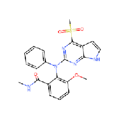 CNC(=O)c1cccc(OC)c1N(c1ccccc1)c1nc(S(C)(=O)=O)c2cc[nH]c2n1